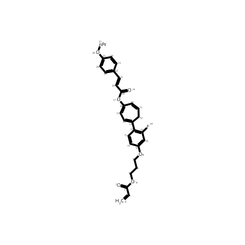 C=CC(=O)OCCCOc1ccc(C2=CC=C(OC(=O)/C=C/c3ccc(OCCC)cc3)C=CC2)c(F)c1